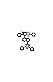 c1ccc(-c2nc(-c3ccccc3)nc(-c3cccc4c(-c5c6sc(-c7ccccc7)nc6cc6oc7ccccc7c56)cccc34)n2)cc1